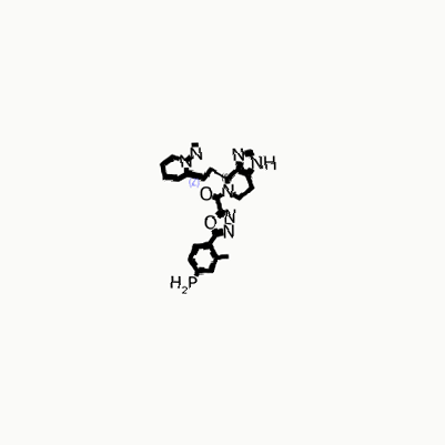 C=NN1C=CC=C/C1=C/C[C@H]1c2nc[nH]c2CCN1C(=O)c1nnc(-c2ccc(P)cc2C)o1